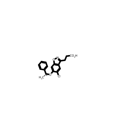 C[C@@H](Oc1cc2onc(CCC(=O)O)c2cc1Cl)c1ccccc1